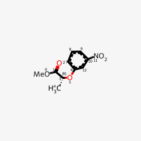 COC(=O)[C@@H](C)Oc1cccc([N+](=O)[O-])c1